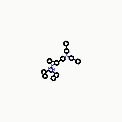 c1ccc(-c2ccc(N(c3ccc(-c4ccccc4)cc3)c3ccc(-c4ccc5c(c4)c4ccccc4n5-c4nc(-c5cccc6ccccc56)cc(-c5cccc6ccccc56)n4)cc3)cc2)cc1